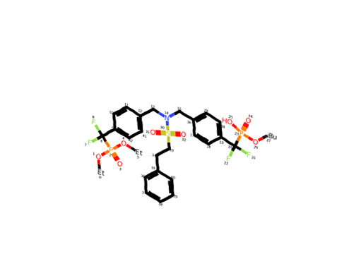 CCOP(=O)(OCC)C(F)(F)c1ccc(CN(Cc2ccc(C(F)(F)P(=O)(O)OC(C)CC)cc2)S(=O)(=O)CCc2ccccc2)cc1